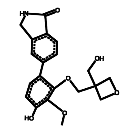 COc1c(O)ccc(-c2ccc3c(c2)CNC3=O)c1OCC1(CO)COC1